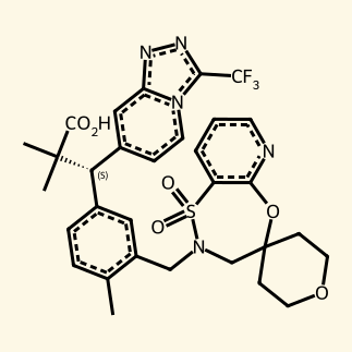 Cc1ccc([C@@H](c2ccn3c(C(F)(F)F)nnc3c2)C(C)(C)C(=O)O)cc1CN1CC2(CCOCC2)Oc2ncccc2S1(=O)=O